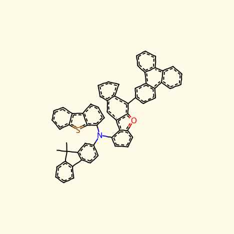 CC1(C)c2ccccc2-c2ccc(N(c3cccc4c3sc3ccccc34)c3cccc4oc5c(-c6ccc7c8ccccc8c8ccccc8c7c6)c6ccccc6cc5c34)cc21